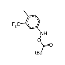 Cc1ccc(NOC(=O)C(C)(C)C)cc1C(F)(F)F